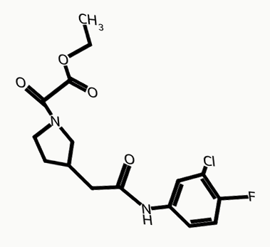 CCOC(=O)C(=O)N1CCC(CC(=O)Nc2ccc(F)c(Cl)c2)C1